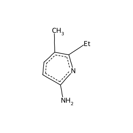 CCc1nc(N)ccc1C